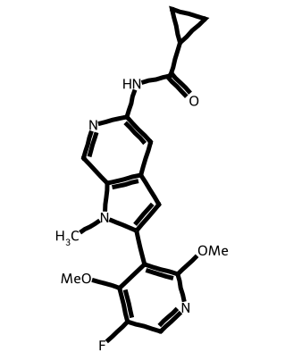 COc1ncc(F)c(OC)c1-c1cc2cc(NC(=O)C3CC3)ncc2n1C